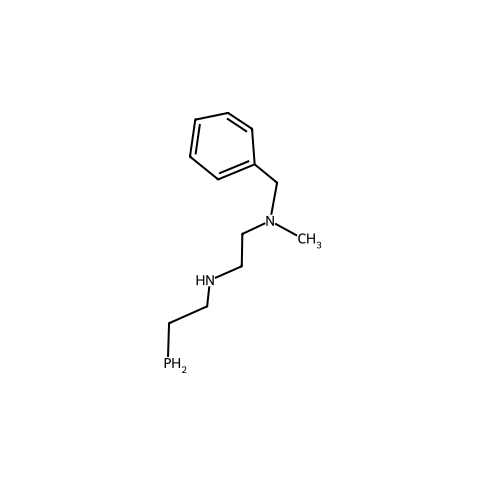 CN(CCNCCP)Cc1ccccc1